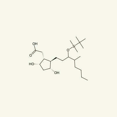 CCCCC(C)C(CC[C@@H]1[C@@H](CC(=O)O)[C@@H](O)C[C@H]1O)O[Si](C)(C)C(C)(C)C